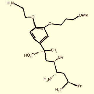 COCCCOc1cc([C@@](C)(C[C@H](O)[C@@H](N)C[C@H](C)C(C)C)C(=O)O)ccc1OCCN